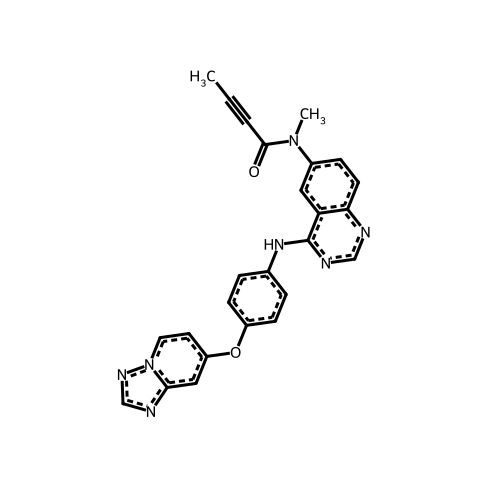 CC#CC(=O)N(C)c1ccc2ncnc(Nc3ccc(Oc4ccn5ncnc5c4)cc3)c2c1